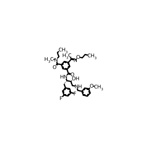 CCCO/N=C(\C)c1cc(C(=O)N[C@@H](Cc2cc(F)cc(F)c2)[C@H](O)CNCc2cccc(OC)c2)cc(C(=O)N(C)CCC)c1